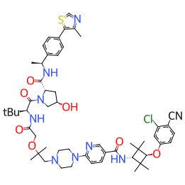 Cc1ncsc1-c1ccc([C@H](C)NC(=O)[C@@H]2C[C@@H](O)CN2C(=O)[C@@H](NC(=O)COC(C)(C)CN2CCN(c3ccc(C(=O)N[C@H]4C(C)(C)[C@H](Oc5ccc(C#N)c(Cl)c5)C4(C)C)cn3)CC2)C(C)(C)C)cc1